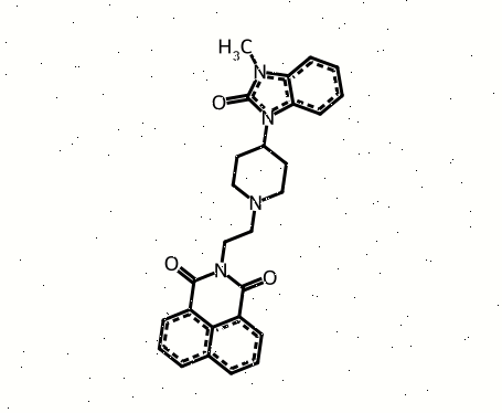 Cn1c(=O)n(C2CCN(CCN3C(=O)c4cccc5cccc(c45)C3=O)CC2)c2ccccc21